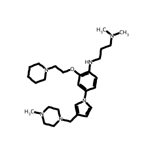 CN(C)CCCNc1ccc(-n2ccc(CN3CCN(C)CC3)c2)cc1OCCN1CCCCC1